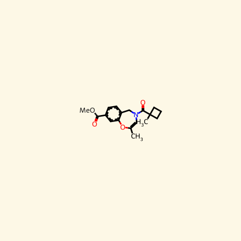 COC(=O)c1ccc2c(c1)OC(C)=CN(C(=O)C1(C)CCC1)C2